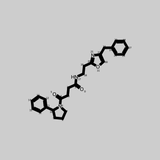 O=C(CCC(=O)N1CCCC1c1ccccc1)NCCc1nc(Cc2ccccc2)co1